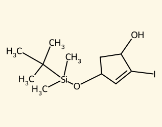 CC(C)(C)[Si](C)(C)OC1C=C(I)C(O)C1